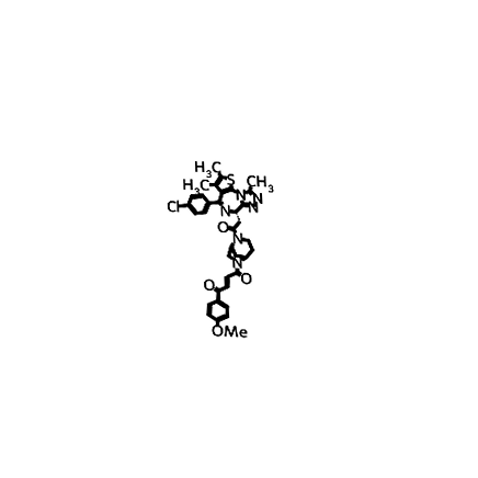 COc1ccc(C(=O)/C=C/C(=O)N2CC3CC2CCN3C(=O)C[C@@H]2N=C(c3ccc(Cl)cc3)c3c(sc(C)c3C)-n3c(C)nnc32)cc1